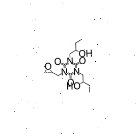 CCC(O)Cn1c(=O)n(CC(O)CC)c(=O)n(CC2CO2)c1=O